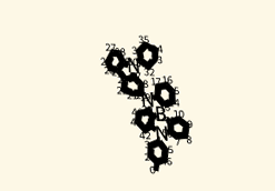 Cc1ccc(N2c3ccccc3B3c4ccccc4N(c4ccc5c6ccccc6n(-c6ccccc6)c5c4)c4cccc2c43)cc1